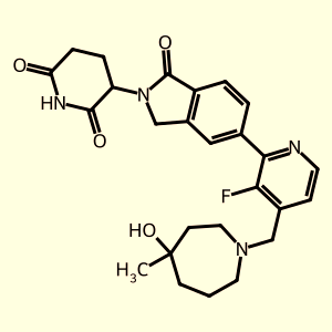 CC1(O)CCCN(Cc2ccnc(-c3ccc4c(c3)CN(C3CCC(=O)NC3=O)C4=O)c2F)CC1